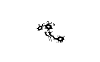 COc1ccc(N2CCN[C@H](CCc3ccccc3)C2)cc1OC1CCCC1